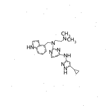 CN(C)CCN(Cc1cccc2[nH]ccc12)c1nccc(Nc2cc(C3CC3)[nH]n2)n1